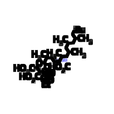 CCOP(=O)(OCC)O[C@H](C(=O)O)[C@H](OC(=O)C(C)C/C(=C\C(C)=C\C(C)CC(C)CC(C)CC(C)CC)C(=O)O)C(=O)O